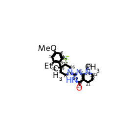 CCc1cc(OC)cc(F)c1C1(C)CCN(c2nc3c(c(=O)[nH]2)CCCN3C)CC1